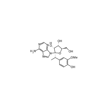 COc1cc(C(C)[C@@]2(n3cnc4c(N)ncnc43)O[C@H](CO)[C@@H](O)[C@H]2O)ccc1O